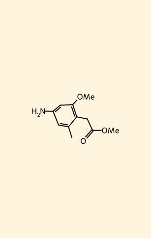 COC(=O)Cc1c(C)cc(N)cc1OC